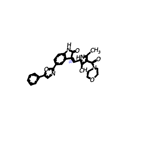 Cc1[nH]c(/C=C2\C(=O)Nc3ccc(-c4ncc(-c5ccccc5)o4)cc32)c(C)c1C(=O)N1CCOCC1